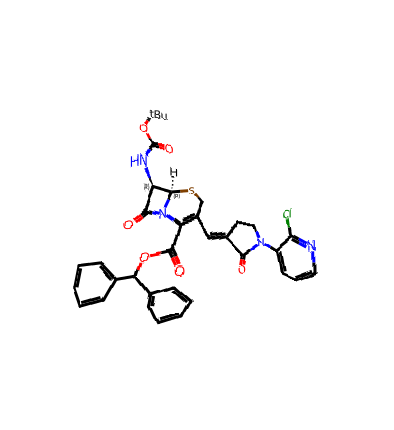 CC(C)(C)OC(=O)N[C@@H]1C(=O)N2C(C(=O)OC(c3ccccc3)c3ccccc3)=C(C=C3CCN(c4cccnc4Cl)C3=O)CS[C@H]12